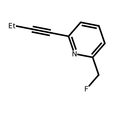 CCC#Cc1cccc(CF)n1